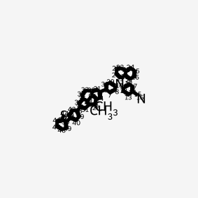 CC1(C)c2cc(-c3ccc(N(c4ccc(C#N)cc4)c4cccc5ccccc45)cc3)cc3ccc4cc(-c5ccc6c(c5)sc5ccccc56)cc1c4c23